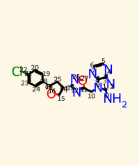 Nc1nc2nccnc2n1Cc1nc([C@@H]2CO[C@@H](c3ccc(Cl)cc3)C2)no1